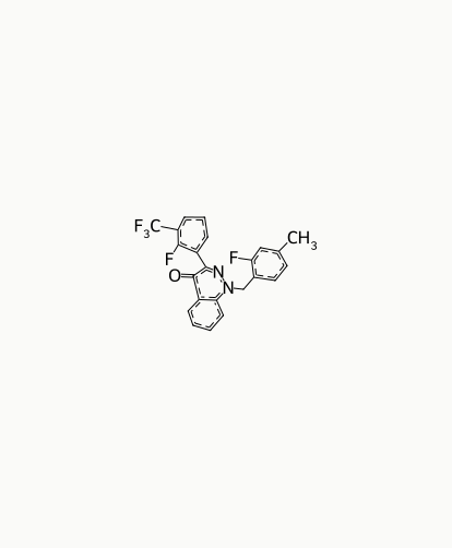 Cc1ccc(Cn2nc(-c3cccc(C(F)(F)F)c3F)c(=O)c3ccccc32)c(F)c1